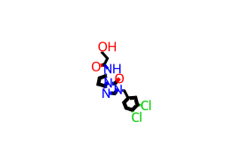 O=C(CCO)Nc1ccc2ncn(Cc3ccc(Cl)c(Cl)c3)c(=O)n12